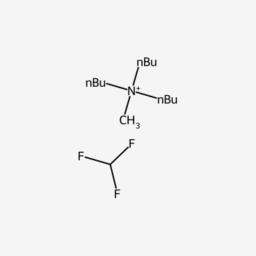 CCCC[N+](C)(CCCC)CCCC.FC(F)F